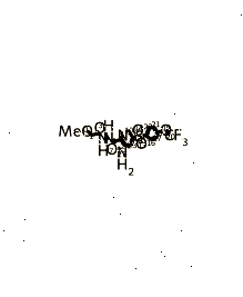 COCC(=O)NNC(=O)c1ncc(S(=O)(=O)c2ccc(OC(F)(F)F)cc2)cc1N